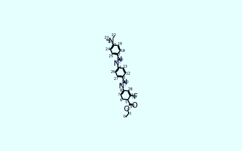 CCOC(=O)C1CC=C(/N=N/c2ccc(/N=N/c3ccc(N(C)C)cc3)cc2)C=C1F